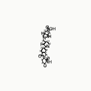 O=C1CCC(N2Cc3cc(-c4nccc(CN5C[C@@H]6CN(C(=O)O)C[C@@H]6C5)c4F)ccc3C2=O)C(=O)N1